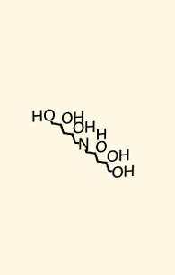 OCC(O)CC(O)/C=N/CC(O)CC(O)CO